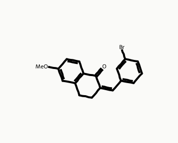 COc1ccc2c(c1)CC/C(=C/c1cccc(Br)c1)C2=O